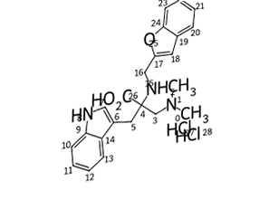 CN(C)CC(Cc1c[nH]c2ccccc12)(NCc1cc2ccccc2o1)C(=O)O.Cl.Cl